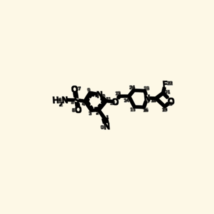 N#Cc1cc(S(N)(=O)=O)cnc1OCC1CCN(C2COC2F)CC1